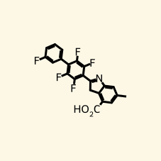 Cc1cc2c(c(C(=O)O)c1)CC(c1c(F)c(F)c(-c3cccc(F)c3)c(F)c1F)=N2